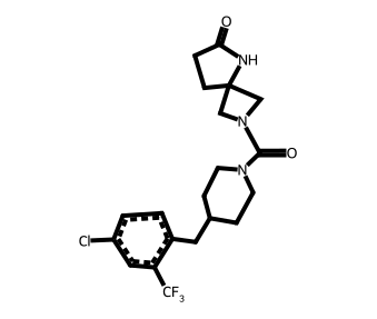 O=C1CCC2(CN(C(=O)N3CCC(Cc4ccc(Cl)cc4C(F)(F)F)CC3)C2)N1